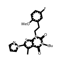 COc1ccc(F)cc1CCn1c(=O)n(C(C)(C)C)c(=O)c2c(C)c(-n3cccn3)sc21